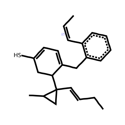 C/C=C\c1ccccc1CC1=CC=C(S)CC1C1(C=CCC)CC1C